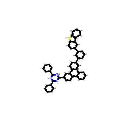 c1ccc(-c2nc(-c3ccccc3)nc(-c3ccc4c5ccccc5c5cc(-c6cccc(-c7ccc8sc9ccccc9c8c7)c6)ccc5c4c3)n2)cc1